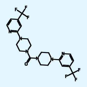 O=C(N1CCN(c2cc(C(F)(F)F)ccn2)CC1)N1CCN(c2cc(C(F)(F)F)ccn2)CC1